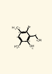 Cc1cc(C)c(Br)c(CO)c1O